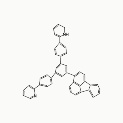 C1=CCNC(c2ccc(-c3cc(-c4ccc(-c5ccccn5)cc4)cc(-c4ccc5c6c(cccc46)-c4ccccc4-5)c3)cc2)=C1